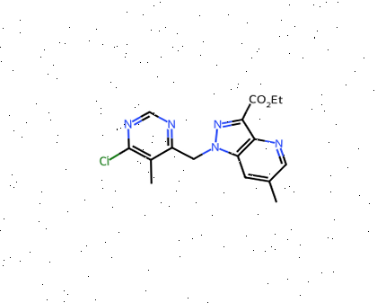 CCOC(=O)c1nn(Cc2ncnc(Cl)c2C)c2cc(C)cnc12